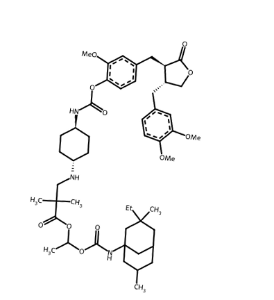 CCC1(C)CC2CC(C)CC(NC(=O)OC(C)OC(=O)C(C)(C)CN[C@H]3CC[C@H](NC(=O)Oc4ccc(C[C@H]5C(=O)OC[C@@H]5Cc5ccc(OC)c(OC)c5)cc4OC)CC3)(C2)C1